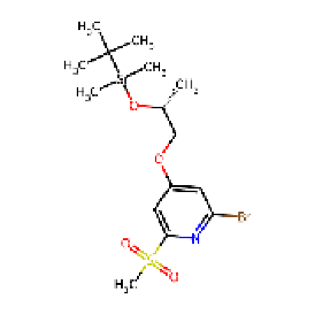 C[C@H](COc1cc(Br)nc(S(C)(=O)=O)c1)O[Si](C)(C)C(C)(C)C